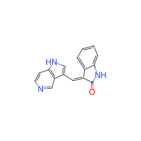 O=C1Nc2ccccc2/C1=C\c1c[nH]c2ccncc12